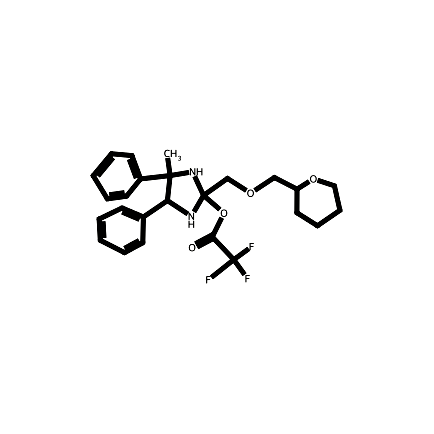 CC1(c2ccccc2)NC(COCC2CCCCO2)(OC(=O)C(F)(F)F)NC1c1ccccc1